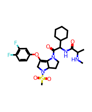 CNC(C)C(=O)NC(C(=O)N1CCC2C1=C(Oc1ccc(F)c(F)c1)CN2S(C)(=O)=O)C1CCCCC1